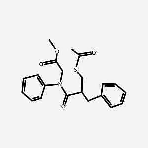 COC(=O)CN(C(=O)C(CSC(C)=O)Cc1ccccc1)c1ccccc1